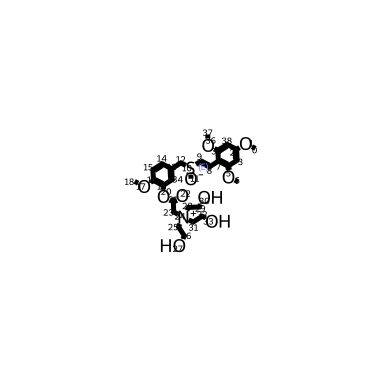 COc1cc(OC)c(/C=C/[S+]([O-])Cc2ccc(OC)c(OC(=O)C[N+](CCO)(CCO)CCO)c2)c(OC)c1